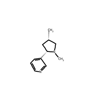 C[C@H]1C[C@@H](c2cccnc2)N(C)C1